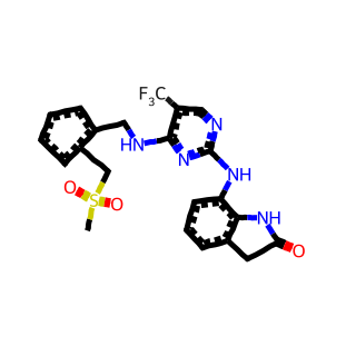 CS(=O)(=O)Cc1ccccc1CNc1nc(Nc2cccc3c2NC(=O)C3)ncc1C(F)(F)F